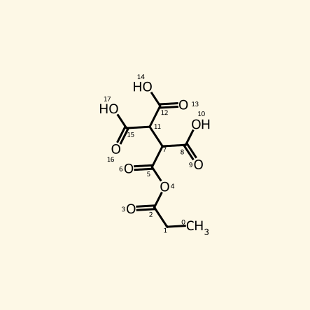 CCC(=O)OC(=O)C(C(=O)O)C(C(=O)O)C(=O)O